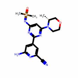 C[C@@H]1COCCN1c1cc(N=S(C)(C)=O)nc(-c2cc(N)nc(C#N)c2)n1